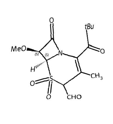 CO[C@H]1C(=O)N2C(C(=O)C(C)(C)C)=C(C)C(C=O)S(=O)(=O)[C@@H]12